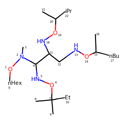 CCCCCCON(C)[C](NOC(C)(C)CC)C(CNOC(C)CCCC)NOC(C)C(C)C